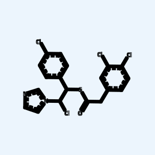 O=C(Cc1ccc(Cl)c(Cl)c1)SC(c1ccc(Cl)cc1)C(Cl)n1ccnc1